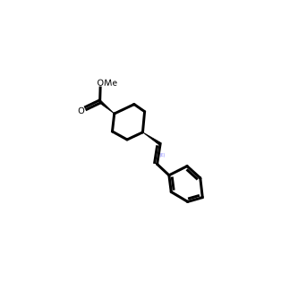 COC(=O)[C@H]1CC[C@@H](/C=C/c2ccccc2)CC1